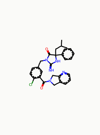 CC(C)CC1(c2ccccc2)NC(=N)N(Cc2ccc(Cl)c(C(=O)N3Cc4cccnc4C3)c2)C1=O